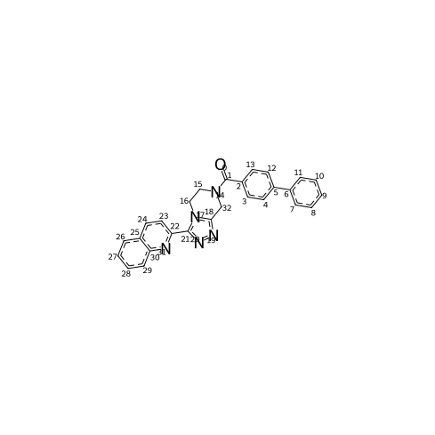 O=C(c1ccc(-c2ccccc2)cc1)N1CCn2c(nnc2-c2ccc3ccccc3n2)C1